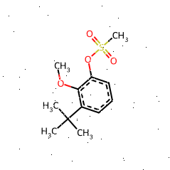 COc1c(OS(C)(=O)=O)cccc1C(C)(C)C